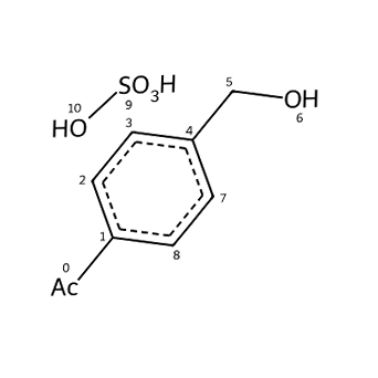 CC(=O)c1ccc(CO)cc1.O=S(=O)(O)O